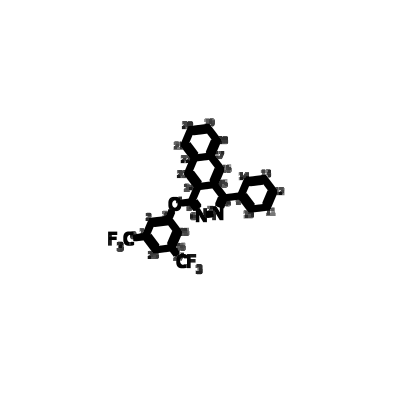 FC(F)(F)c1cc(Oc2nnc(-c3ccccc3)c3cc4ccccc4cc23)cc(C(F)(F)F)c1